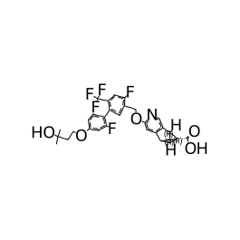 CC(C)(O)CCOc1ccc(-c2cc(COc3cc4c(cn3)[C@H]3[C@H]5C4[C@]53C(=O)O)c(F)cc2C(F)(F)F)c(F)c1